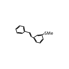 CSc1cccc(C=Cc2ccccc2)c1